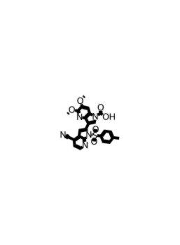 COc1cc2c(nc1OC)c(-c1cc3c(C#N)ccnc3n1S(=O)(=O)c1ccc(C)cc1)cn2C(=O)O